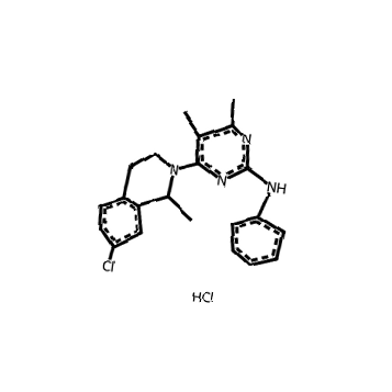 Cc1nc(Nc2ccccc2)nc(N2CCc3ccc(Cl)cc3C2C)c1C.Cl